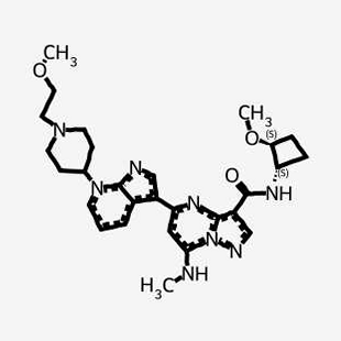 CNc1cc(-c2cnc3n(C4CCN(CCOC)CC4)cccc2-3)nc2c(C(=O)N[C@H]3CC[C@@H]3OC)cnn12